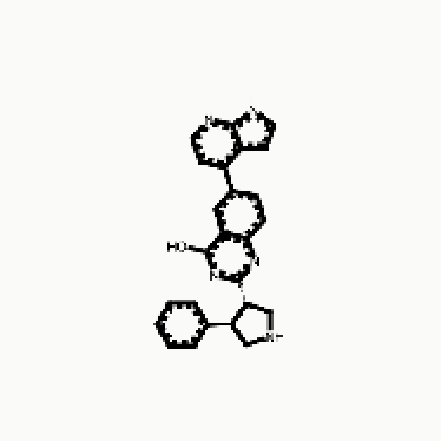 Oc1nc([C@@H]2CNC[C@H]2c2ccccc2)nc2ccc(-c3ccnc4[nH]ccc34)cc12